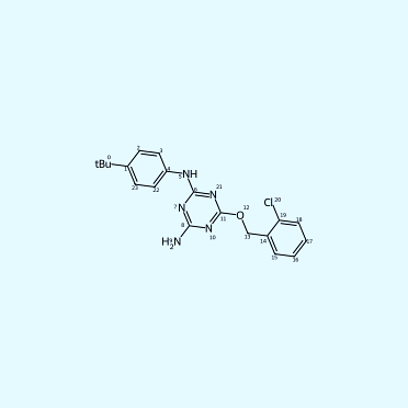 CC(C)(C)c1ccc(Nc2nc(N)nc(OCc3ccccc3Cl)n2)cc1